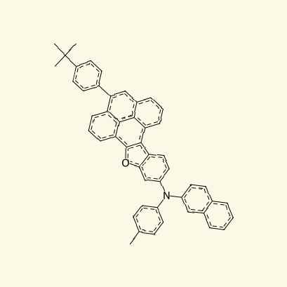 Cc1ccc(N(c2ccc3ccccc3c2)c2ccc3c(c2)oc2c4cccc5c(-c6ccc(C(C)(C)C)cc6)cc6cccc(c32)c6c54)cc1